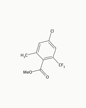 COC(=O)c1c(C)cc(Cl)cc1C(F)(F)F